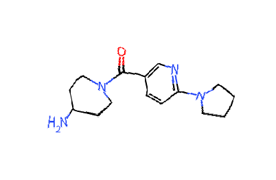 NC1CCN(C(=O)c2ccc(N3CCCC3)nc2)CC1